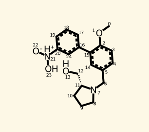 COc1ccc(CN2CCC[C@@H]2CO)cc1-c1cccc([NH+]([O-])O)c1